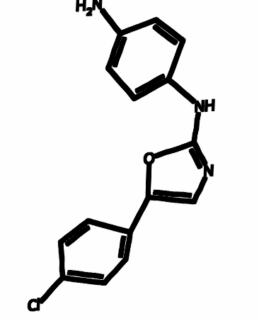 Nc1ccc(Nc2ncc(-c3ccc(Cl)cc3)o2)cc1